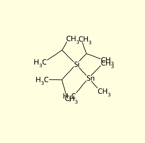 CC(C)[Si](C(C)C)(C(C)C)[Sn]([CH3])([CH3])[CH3]